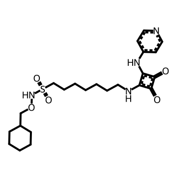 O=c1c(NCCCCCCCS(=O)(=O)NOCC2CCCCC2)c(Nc2ccncc2)c1=O